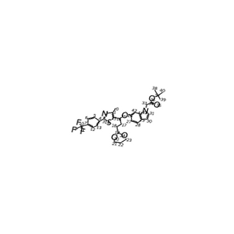 Cc1nc(-c2ccc(C(F)(F)F)cc2)sc1C(CCC1OCCCO1)Oc1ccc2ccn(CC(=O)OC(C)(C)C)c2c1